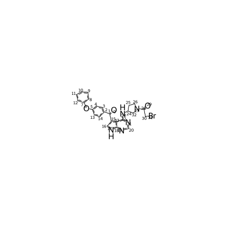 O=C(c1ccc(Oc2ccccc2)cc1)c1c[nH]c2ncnc(NC3CCN(C(=O)CBr)C3)c12